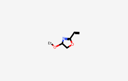 C=CC1=NC(OCC)CO1